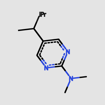 CC(C)C(C)c1cnc(N(C)C)nc1